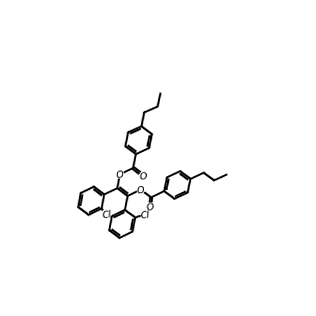 CCCc1ccc(C(=O)OC(=C(OC(=O)c2ccc(CCC)cc2)c2ccccc2Cl)c2ccccc2Cl)cc1